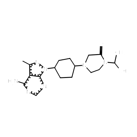 CC(C)N1CCN(C2CCC(n3nc(I)c4c(N)ncnc43)CC2)CC1=O